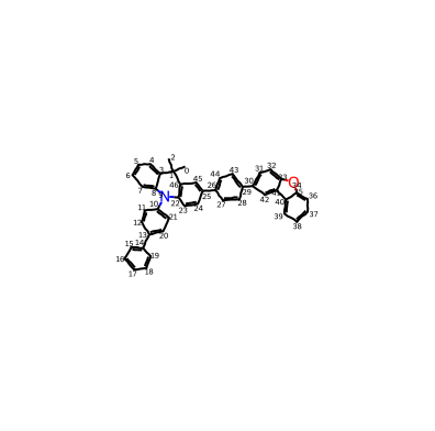 CC1(C)c2ccccc2N(c2ccc(-c3ccccc3)cc2)c2ccc(-c3ccc(-c4ccc5oc6ccccc6c5c4)cc3)cc21